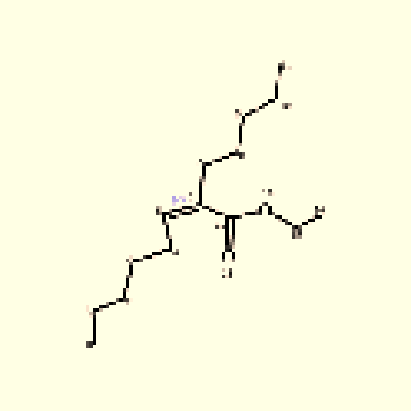 CCCCC/C=C(/CCCCC)C(=O)OCC